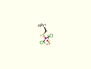 CCCCSP(=S)(Cl)Cl